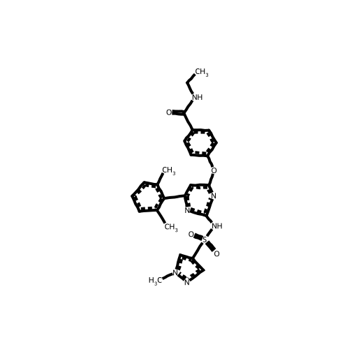 CCNC(=O)c1ccc(Oc2cc(-c3c(C)cccc3C)nc(NS(=O)(=O)c3cnn(C)c3)n2)cc1